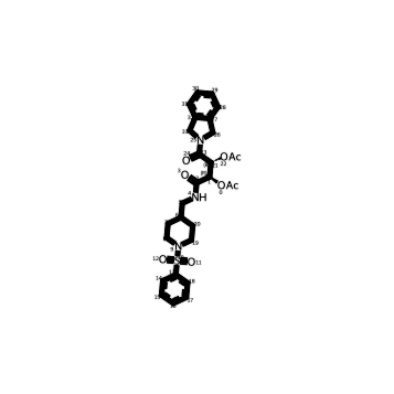 CC(=O)O[C@@H](C(=O)NCC1CCN(S(=O)(=O)c2ccccc2)CC1)[C@@H](OC(C)=O)C(=O)N1Cc2ccccc2C1